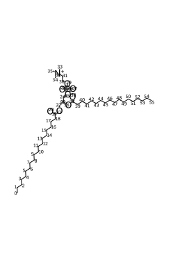 CCCCCCCCCCCCCCCCCCCC(=O)OC[C@H](COP(=O)([O-])OCC[N+](C)(C)C)OC(=O)CCCCCCCCCCCCCCCCC